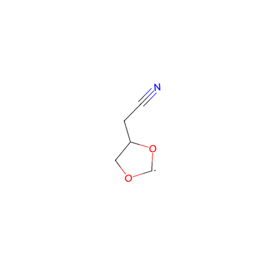 N#CCC1CO[CH]O1